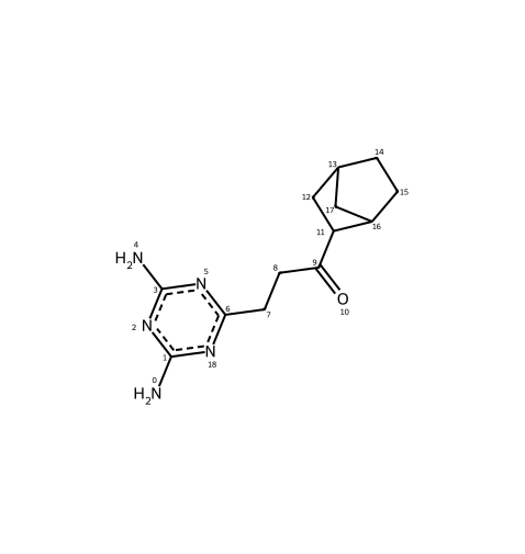 Nc1nc(N)nc(CCC(=O)C2CC3CCC2C3)n1